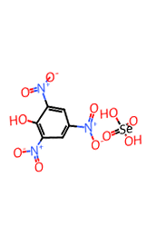 O=[N+]([O-])c1cc([N+](=O)[O-])c(O)c([N+](=O)[O-])c1.O=[Se](=O)(O)O